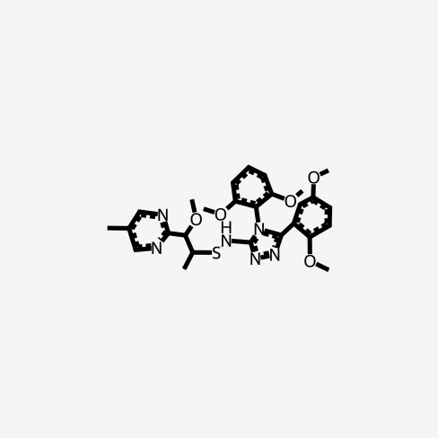 COc1ccc(OC)c(-c2nnc(NSC(C)C(OC)c3ncc(C)cn3)n2-c2c(OC)cccc2OC)c1